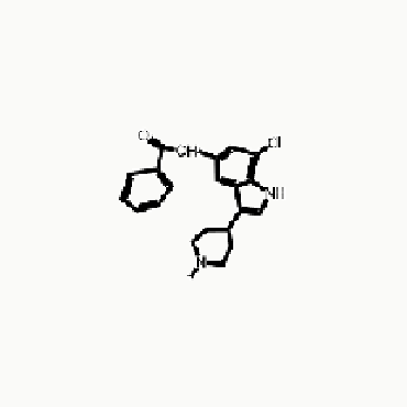 Cc1cc(Cl)c2[nH]cc(C3CCN(C)CC3)c2c1.O=C(O)c1ccccc1